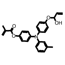 C=CC(O)Oc1ccc(N(c2ccc(OC(=O)C(=C)C)cc2)c2cccc(C)c2)cc1